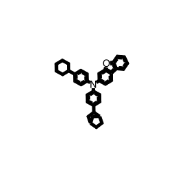 c1ccc2c(c1)oc1cc(N(c3ccc(C4CCCCC4)cc3)c3ccc(C4CC5CCC4C5)cc3)ccc12